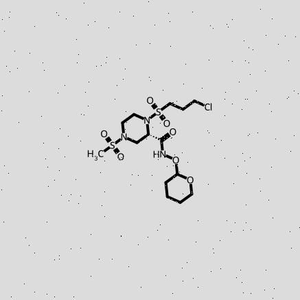 CS(=O)(=O)N1CCN(S(=O)(=O)CCCCl)[C@H](C(=O)NOC2CCCCO2)C1